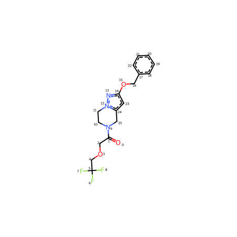 O=C(COCC(F)(F)F)N1CCn2nc(OCc3ccccc3)cc2C1